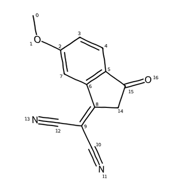 COc1ccc2c(c1)C(=C(C#N)C#N)CC2=O